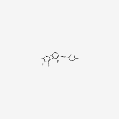 Cc1ccc(C#Cc2ccc3c(c2F)-c2c-3cc(C)c(F)c2F)cc1